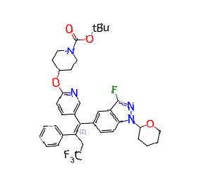 CC(C)(C)OC(=O)N1CCC(Oc2ccc(/C(=C(/CC(F)(F)F)c3ccccc3)c3ccc4c(c3)c(F)nn4C3CCCCO3)cn2)CC1